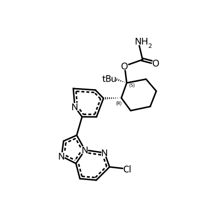 CC(C)(C)[C@]1(OC(N)=O)CCCC[C@@H]1c1ccnc(-c2cnc3ccc(Cl)nn23)c1